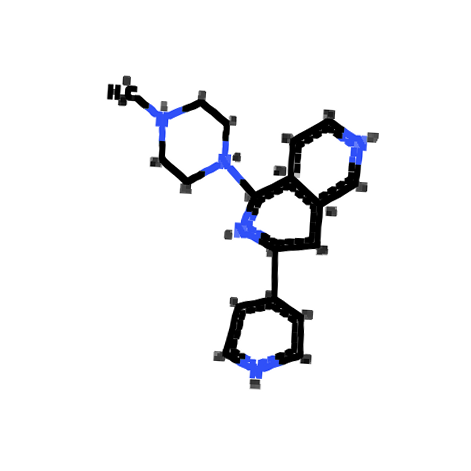 CN1CCN(c2nc(-c3ccncc3)cc3cnccc23)CC1